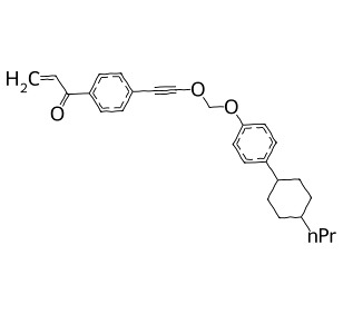 C=CC(=O)c1ccc(C#COCOc2ccc(C3CCC(CCC)CC3)cc2)cc1